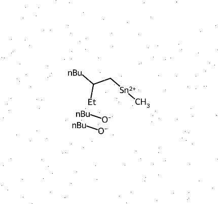 CCCCC(CC)[CH2][Sn+2][CH3].CCCC[O-].CCCC[O-]